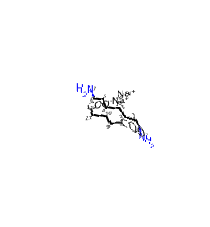 NCCCCCCN.O=C([O-])CCCC(=O)[O-].[Na+].[Na+]